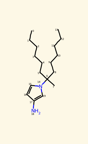 CCCCCCC(C)(CCCCCC)n1ccc(N)c1